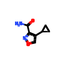 NC(=O)c1nocc1C1CC1